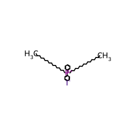 CCCCCCCCCCCCCCCC[P+](CCCCCCCCCCCCCCCC)(c1ccccc1)c1ccccc1.[I-]